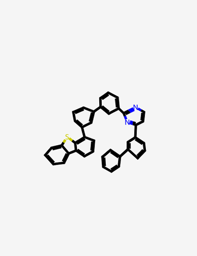 c1ccc(-c2cccc(-c3ccnc(-c4cccc(-c5cccc(-c6cccc7c6sc6ccccc67)c5)c4)n3)c2)cc1